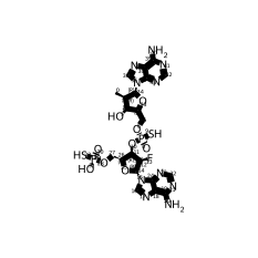 C[C@@H]1[C@H](O)C(COP(=O)(S)O[C@H]2[C@@H](F)[C@H](n3cnc4c(N)ncnc43)O[C@@H]2CO[P@](=O)(O)S)O[C@H]1n1cnc2c(N)ncnc21